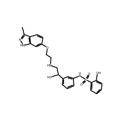 Cc1n[nH]c2cc(OCCNCC(O)c3cccc(NS(=O)(=O)c4ccccc4O)c3)ccc12